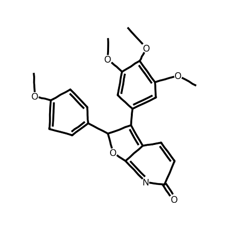 COc1ccc(C2OC3=NC(=O)C=CC3=C2c2cc(OC)c(OC)c(OC)c2)cc1